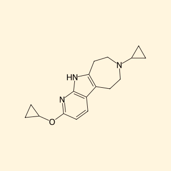 c1cc2c3c([nH]c2nc1OC1CC1)CCN(C1CC1)CC3